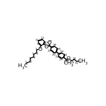 CCCCCCCCOc1ccccc1OC(=O)c1ccc(-c2ccc(C(C)OCCCC)cc2)cc1